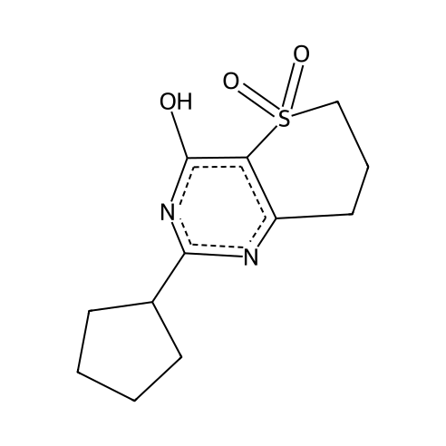 O=S1(=O)CCCc2nc(C3CCCC3)nc(O)c21